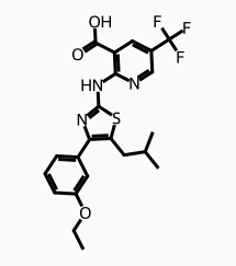 CCOc1cccc(-c2nc(Nc3ncc(C(F)(F)F)cc3C(=O)O)sc2CC(C)C)c1